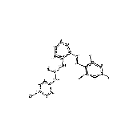 Cc1cc(C)c(COc2cccnc2NC(=N)Nc2ccc(Cl)cc2)c(C)c1